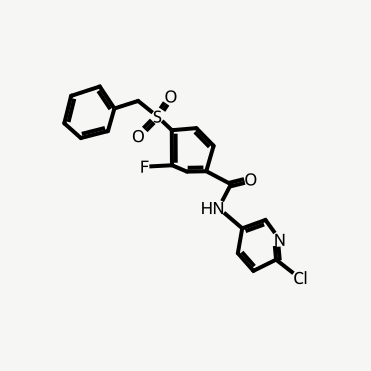 O=C(Nc1ccc(Cl)nc1)c1ccc(S(=O)(=O)Cc2ccccc2)c(F)c1